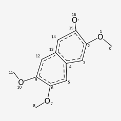 COc1cc2cc(OC)c(OC)cc2cc1[O]